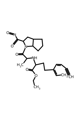 C#C/C=C\C(=C/C)CCC(NC(C)C(=O)N1C(C(=O)N=O)CC2CCCC21)C(=O)OCC